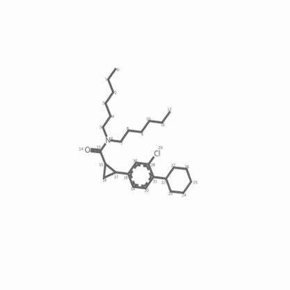 CCCCCCN(CCCCCC)C(=O)C1CC1c1ccc(C2CCCCC2)c(Cl)c1